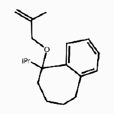 C=C(C)COC1(C(C)C)CCCCc2ccccc21